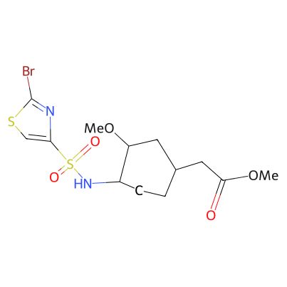 COC(=O)CC1CCC(NS(=O)(=O)c2csc(Br)n2)C(OC)C1